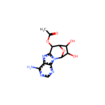 CC(=O)OC1c2nc3c(N)ncnc3n2C2OC1C(O)C2O